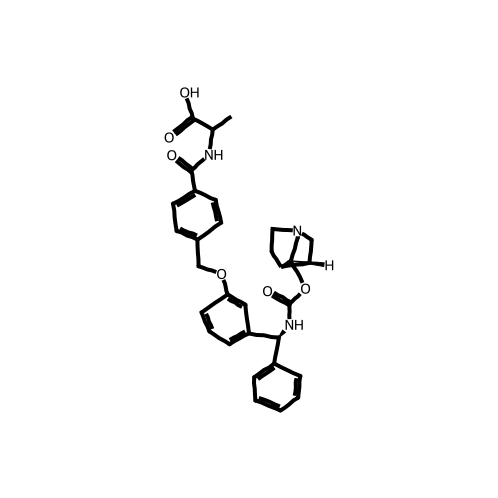 CC(NC(=O)c1ccc(COc2cccc([C@@H](NC(=O)O[C@H]3CN4CCC3CC4)c3ccccc3)c2)cc1)C(=O)O